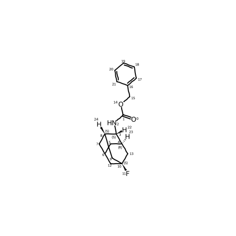 O=C(N[C@@H]1[C@@H]2CC3C[C@H]1C[C@@](F)(C3)C2)OCc1ccccc1